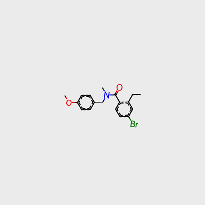 CCc1cc(Br)ccc1C(=O)N(C)Cc1ccc(OC)cc1